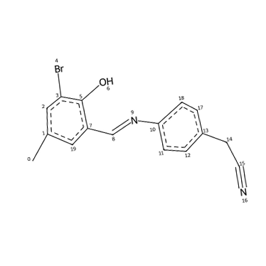 Cc1cc(Br)c(O)c(/C=N/c2ccc(CC#N)cc2)c1